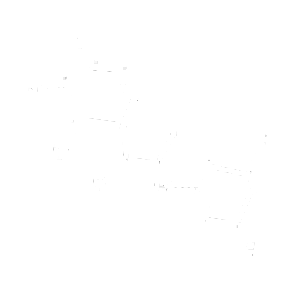 O=C(Nc1cc(Cl)cc(Cl)c1)N(S)c1ccc(F)c(F)c1O